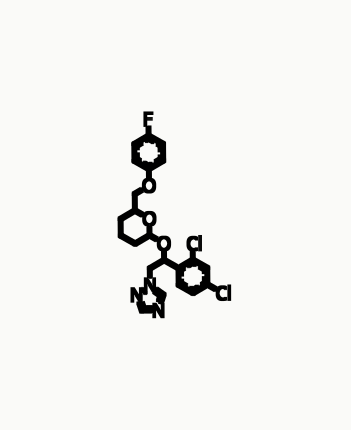 Fc1ccc(OCC2CCCC(OC(Cn3cncn3)c3ccc(Cl)cc3Cl)O2)cc1